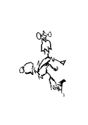 CS(=O)(=O)N1CCN(c2nc3c(N4CCOCC4)nc(/C(C=N)=C/N)nc3n2CC2CC2)CC1